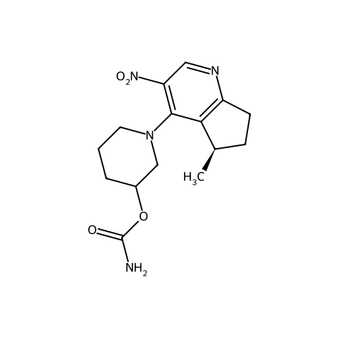 C[C@@H]1CCc2ncc([N+](=O)[O-])c(N3CCCC(OC(N)=O)C3)c21